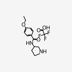 CCOc1ccc(C(=O)NC2CCCNC2)cc1.O=C(O)C(F)(F)F